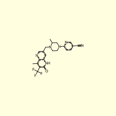 Cc1c(C(F)(F)F)c(=O)[nH]c2cc(CN3CCN(c4ccc(C#N)cn4)CC3C)cnc12